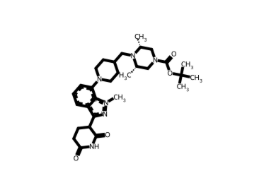 C[C@@H]1CN(C(=O)OC(C)(C)C)C[C@H](C)N1CC1CCN(c2cccc3c(C4CCC(=O)NC4=O)nn(C)c23)CC1